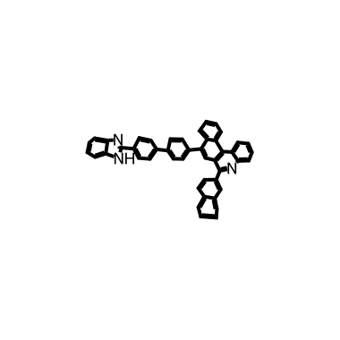 c1ccc2cc(-c3nc4ccccc4c4c3cc(-c3ccc(-c5ccc(-c6nc7ccccc7[nH]6)cc5)cc3)c3ccccc34)ccc2c1